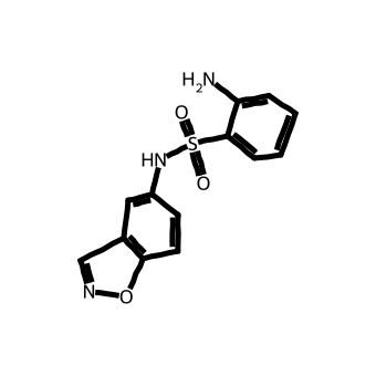 Nc1ccccc1S(=O)(=O)Nc1ccc2oncc2c1